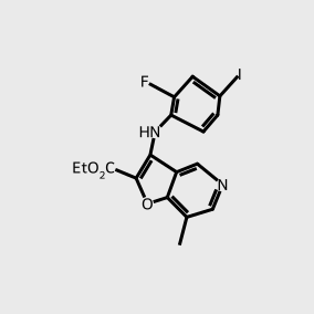 CCOC(=O)c1oc2c(C)cncc2c1Nc1ccc(I)cc1F